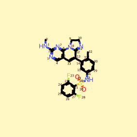 CNc1ncc2c(n1)N1CCN=C1C(c1cc(NS(=O)(=O)c3c(F)cccc3F)ccc1C)=C2